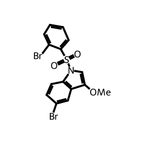 COc1cn(S(=O)(=O)c2ccccc2Br)c2ccc(Br)cc12